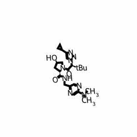 CN(C)c1cnc(CNC(=O)[C@@H]2C[C@@H](O)CN2C(=O)[C@@H](n2cc(C3CC3)nn2)C(C)(C)C)cn1